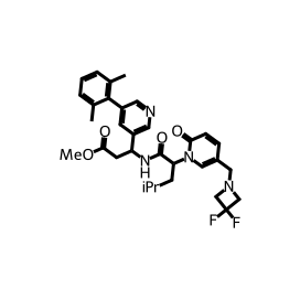 COC(=O)CC(NC(=O)C(CC(C)C)n1cc(CN2CC(F)(F)C2)ccc1=O)c1cncc(-c2c(C)cccc2C)c1